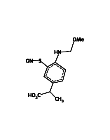 COCNc1ccc(C(C)C(=O)O)cc1SN=O